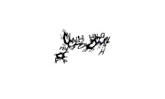 O=C1Nc2cc(OCCNc3ncccc3C(=O)NCc3ccc(F)c(F)c3)ccc2/C1=C/c1cnc[nH]1